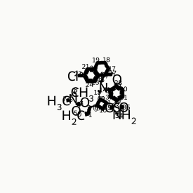 C=CC(OC(=O)N(C)C)[C@@H]1CC[C@H]1CN1C[C@@]2(CCCc3cc(Cl)ccc32)COc2ccc(S(N)(=O)=O)cc21